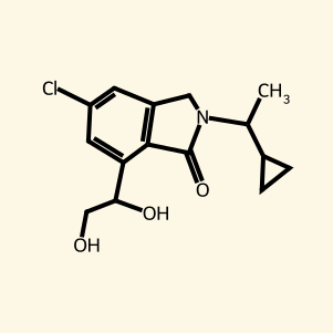 CC(C1CC1)N1Cc2cc(Cl)cc(C(O)CO)c2C1=O